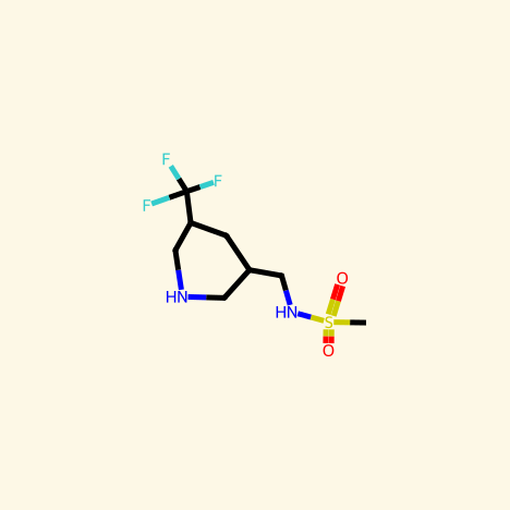 CS(=O)(=O)NCC1CNCC(C(F)(F)F)C1